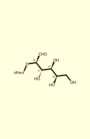 CCCCCO[C@@H](C=O)[C@@H](O)[C@@H](O)[C@H](O)CO